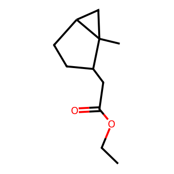 CCOC(=O)CC1CCC2CC12C